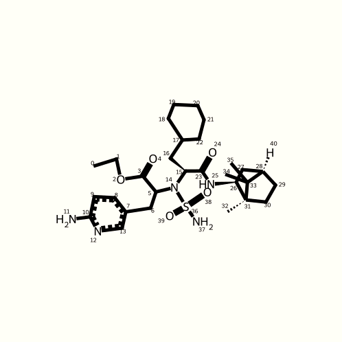 CCOC(=O)C(Cc1ccc(N)nc1)N([C@@H](CC1CCCCC1)C(=O)N[C@H]1C[C@H]2CC[C@]1(C)C2(C)C)S(N)(=O)=O